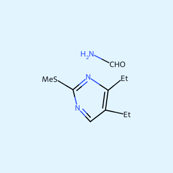 CCc1cnc(SC)nc1CC.NC=O